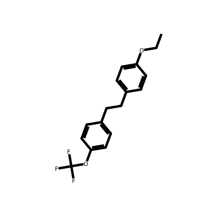 CCOc1ccc(CCc2ccc(OC(F)(F)F)cc2)cc1